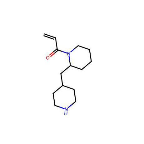 C=CC(=O)N1CCCCC1CC1CCNCC1